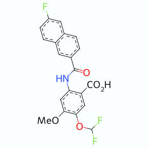 COc1cc(NC(=O)c2ccc3cc(F)ccc3c2)c(C(=O)O)cc1OC(F)F